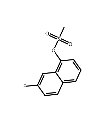 CS(=O)(=O)Oc1cccc2ccc(F)cc12